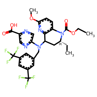 CCOC(=O)N1c2ccc(OC)nc2C(N(Cc2cc(C(F)(F)F)cc(C(F)(F)F)c2)c2cnc(C(=O)O)cn2)C[C@H]1CC